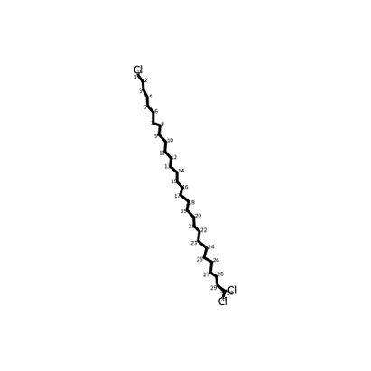 ClCCCCCCCCCCCCCCCCCCCCCCCCCCCCCC(Cl)Cl